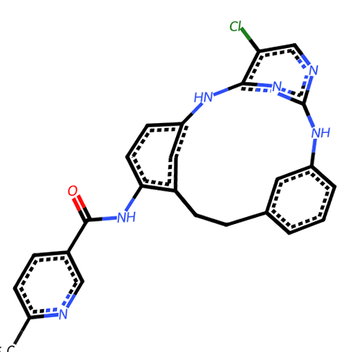 O=C(Nc1ccc2cc1CCc1cccc(c1)Nc1ncc(Cl)c(n1)N2)c1ccc(C(F)(F)F)nc1